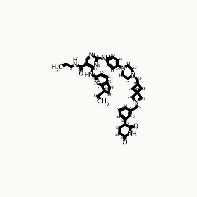 C=CCNC(=O)c1cnc(Nc2ccc(N3CCN(CC4CC5(C4)CN(Cc4cccc(C6CCC(=O)NC6=O)c4)C5)CC3)cc2)nc1Nc1ccc2c(n1)C(CC)CC2